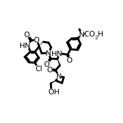 CN(C(=O)O)c1ccc(C(=O)N[C@@H](CC(=O)N2CC[C@H]2CO)C(=O)N2CCC[C@@]3(C2)OC(=O)Nc2ccc(Cl)cc23)cc1